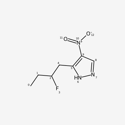 CCC(F)Cc1[nH]ncc1[N+](=O)[O-]